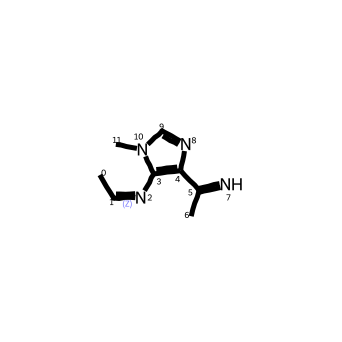 C/C=N\c1c(C(C)=N)ncn1C